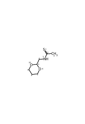 CC(=S)NCC1OCCCO1